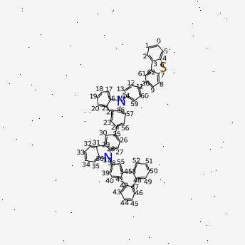 c1ccc2c(c1)sc1ccc(-c3ccc(-n4c5ccccc5c5cc(-c6ccc7c(c6)c6ccccc6n7-c6ccc7c8ccccc8c8ccccc8c7c6)ccc54)cc3)cc12